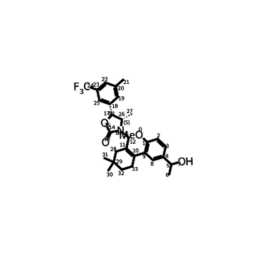 COc1ccc(C(C)O)cc1C1=C(CN2C(=O)O[C@H](c3cc(C)cc(C(F)(F)F)c3)[C@@H]2C)CC(C)(C)CC1